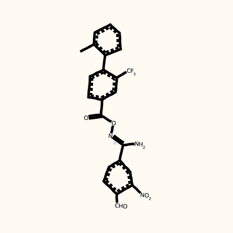 Cc1ccccc1-c1ccc(C(=O)O/N=C(\N)c2ccc(C=O)c([N+](=O)[O-])c2)cc1C(F)(F)F